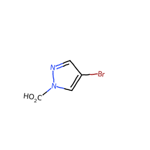 O=C(O)n1cc(Br)cn1